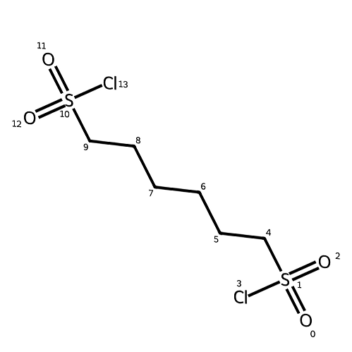 O=S(=O)(Cl)CCCCCCS(=O)(=O)Cl